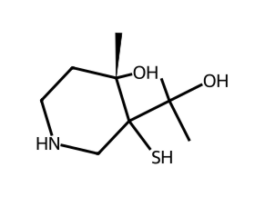 CC(C)(O)C1(S)CNCC[C@]1(C)O